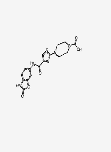 O=C(Nc1ccc2[nH]c(=O)oc2c1)c1csc(N2CCN(C(=O)O)CC2)n1